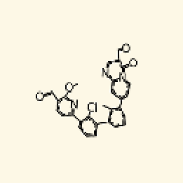 COc1nc(-c2cccc(-c3cccc(-c4ccn5c(=O)c(C=O)cnc5c4)c3C)c2Cl)ccc1C=O